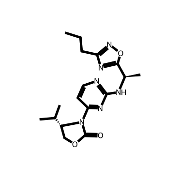 CCCc1noc([C@@H](C)Nc2nccc(N3C(=O)OC[C@@H]3C(C)C)n2)n1